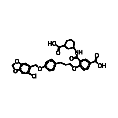 O=C(O)c1ccc(OCCCc2ccc(OCc3cc4c(cc3Cl)OCO4)cc2)c(C(=O)NC2CCCC(C(=O)O)C2)c1